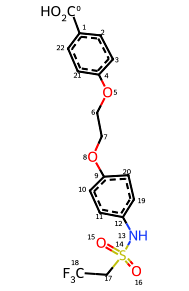 O=C(O)c1ccc(OCCOc2ccc(NS(=O)(=O)CC(F)(F)F)cc2)cc1